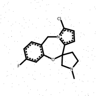 CN1CCC2(C1)Oc1cc(F)ccc1Cn1c(Cl)ccc12